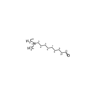 CN(C)CCCCCCCC[C]=O